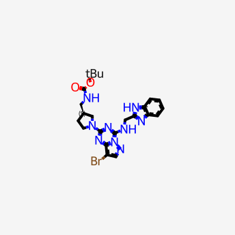 CC(C)(C)OC(=O)NC[C@@H]1CCN(c2nc(NCc3nc4ccccc4[nH]3)n3ncc(Br)c3n2)C1